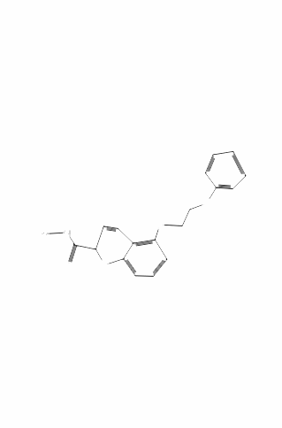 O=NNC(=O)C1C=Cc2c(OCCOc3ccccc3)cccc2O1